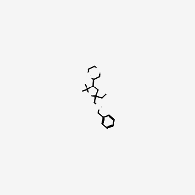 CCC1(COCc2ccccc2)CC(C2COCCO2)C(C)(C)O1